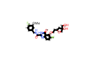 COc1cc(CNC(=O)c2nc3ccc(F)c(OCCC4CC(O)(CO)CO4)c3c(=O)[nH]2)ccc1F